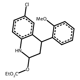 CCOC(=O)OC1CC(c2ccccc2OC)c2cc(Cl)ccc2N1